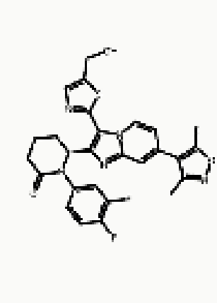 Cc1noc(C)c1-c1ccn2c(-c3ncc(CO)s3)c([C@@H]3CCCC(=O)N3c3ccc(F)c(F)c3)nc2c1